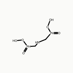 O=[PH](CNC[PH](=O)OO)OO